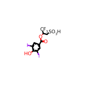 O=C(OC(CS(=O)(=O)O)C(F)(F)F)c1cc(I)c(O)c(I)c1